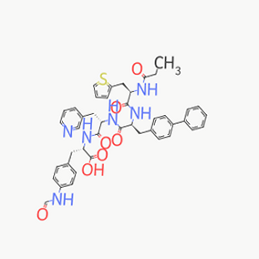 CCC(=O)N[C@H](Cc1cccs1)C(=O)N[C@@H](Cc1ccc(-c2ccccc2)cc1)C(=O)N[C@@H](Cc1cccnc1)C(=O)N[C@@H](Cc1ccc(NC=O)cc1)C(=O)O